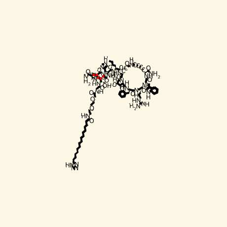 CCCC[C@H](NC(=O)[C@H](Cc1c[nH]cn1)NC(=O)[C@H](Cc1c[nH]cn1)NC(=O)[C@H](CCC(N)=O)NC(=O)[C@H](CO)NC(=O)CNC(=O)COCCOCCNC(=O)CCCCCCCCCCCCCCCc1nnn[nH]1)C(=O)N[C@H]1CCC(=O)NCCCC[C@@H](C(N)=O)NC(=O)[C@H](Cc2c[nH]c3ccccc23)NC(=O)[C@H](CCCNC(=N)N)NC(=O)[C@@H](Cc2ccccc2)NC(=O)[C@@H]2C[C@@H](O)CN2C1=O